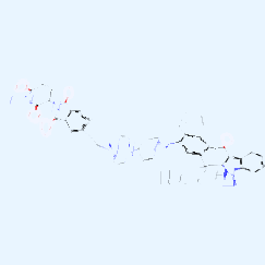 CCc1cc2c(cc1N1CCC(N3CCN(Cc4ccc5c(c4)C(=O)N(C4CCC(=O)NC4=O)C5=O)CC3)CC1)C(C)(C)c1[nH]c3ccccc3c1C2=O